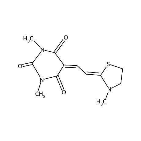 CN1CCSC1=CC=C1C(=O)N(C)C(=O)N(C)C1=O